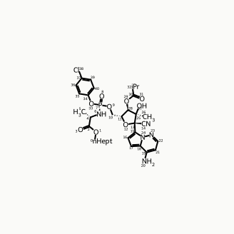 CCCCCCCOC(=O)[C@H](C)N[P@](=O)(OC[C@H]1O[C@@](C#N)(c2ccc3c(N)ccnn23)[C@](C)(O)[C@@H]1OC(=O)C(C)C)Oc1ccc(Cl)cc1